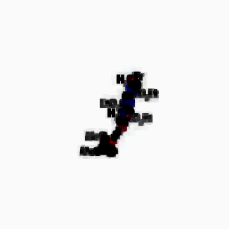 CCOC(=O)N1c2ccc(-c3nc4cc(-c5nc6c(n5C(=O)OCC)C/C=C\C(N(C)C(C)C)/C=C/6)ccc4n3C(=O)OCC)cc2N(C)C1C1=CC=C(OCCCCCCOCC(c2ccccc2)(c2ccc(OC)cc2)c2ccc(OC)cc2)CC=C1